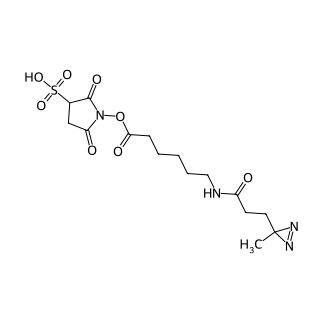 CC1(CCC(=O)NCCCCCC(=O)ON2C(=O)CC(S(=O)(=O)O)C2=O)N=N1